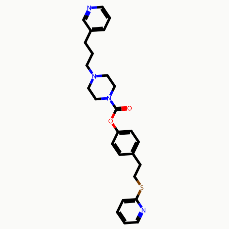 O=C(Oc1ccc(CCSc2ccccn2)cc1)N1CCN(CCCc2cccnc2)CC1